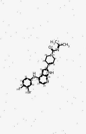 CC(C)=NC(=O)N1CC=C(c2cc3c(Nc4ccc(F)c(Br)c4)ccnc3[nH]2)CC1